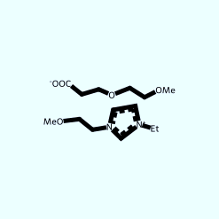 CC[n+]1ccn(CCOC)c1.COCCOCCC(=O)[O-]